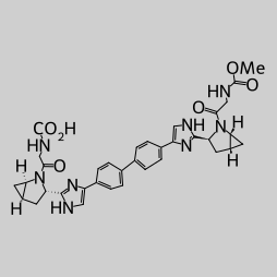 COC(=O)NCC(=O)N1[C@@H]2C[C@@H]2C[C@H]1c1nc(-c2ccc(-c3ccc(-c4c[nH]c([C@@H]5C[C@H]6C[C@H]6N5C(=O)CNC(=O)O)n4)cc3)cc2)c[nH]1